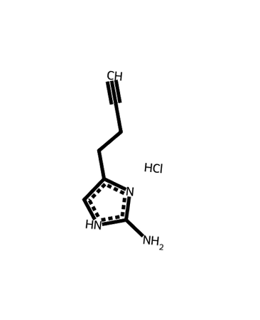 C#CCCc1c[nH]c(N)n1.Cl